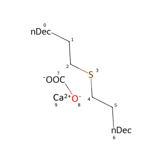 CCCCCCCCCCCCSCCCCCCCCCCCC.O=C([O-])[O-].[Ca+2]